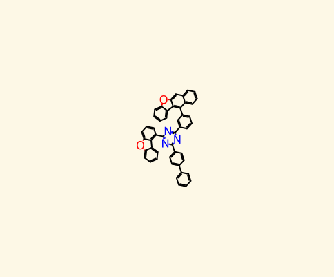 c1ccc(-c2ccc(-c3nc(-c4cccc(-c5c6ccccc6cc6oc7ccccc7c56)c4)nc(-c4cccc5oc6ccccc6c45)n3)cc2)cc1